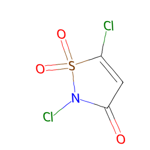 O=C1C=C(Cl)S(=O)(=O)N1Cl